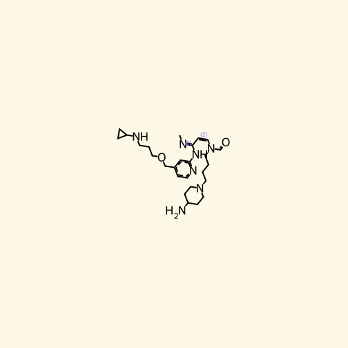 C/N=C(\C=C/N(C=O)CCCCN1CCC(N)CC1)Nc1cc(COCCCNC2CC2)ccn1